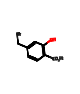 CCOC(=O)c1ccc(CC(C)C)cc1O